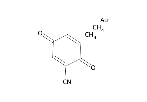 C.C.N#CC1=CC(=O)C=CC1=O.[Au]